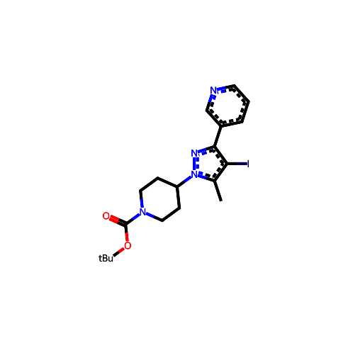 Cc1c(I)c(-c2cccnc2)nn1C1CCN(C(=O)OC(C)(C)C)CC1